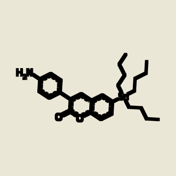 CCC[CH2][Sn]([CH2]CCC)([CH2]CCC)[c]1ccc2oc(=O)c(-c3ccc(N)cc3)cc2c1